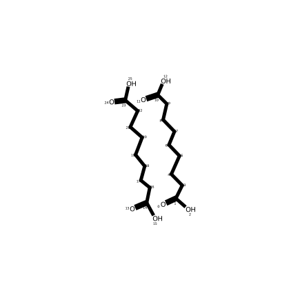 O=C(O)CCCCCCCC(=O)O.O=C(O)CCCCCCCC(=O)O